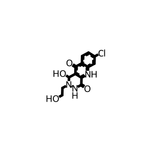 O=C1NN(CCO)C(O)c2c1[nH]c1cc(Cl)ccc1c2=O